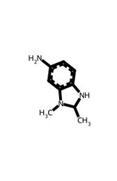 CC1Nc2ccc(N)cc2N1C